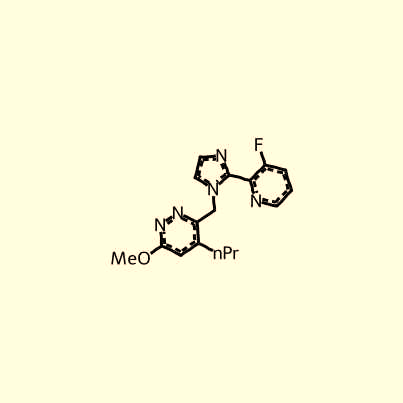 CCCc1cc(OC)nnc1Cn1ccnc1-c1ncccc1F